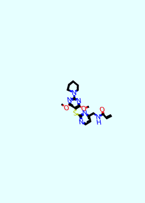 C=CC(=O)NCc1ccnc(Sc2c(OC)nc(N3CCCCC3)nc2OC)n1